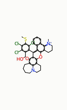 CSc1c(Cl)c(Cl)c(C(=O)O)c(C2=c3c(c4c(c5ccccc35)=[N+](C)CCC4)Oc3c2cc2c4c3CCCN4CCCC2)c1Cl